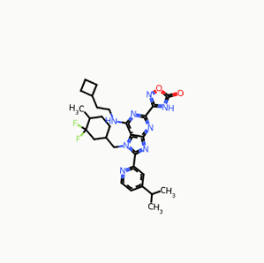 CC(C)c1ccnc(-c2nc3nc(-c4noc(=O)[nH]4)nc(NCCC4CCC4)c3n2CC2CCC(C)C(F)(F)C2)c1